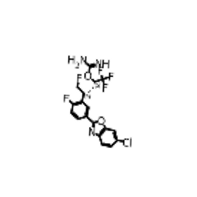 N=C(N)O[C@@H](C[C@@H](CF)c1cc(-c2nc3ccc(Cl)cc3o2)ccc1F)C(F)(F)F